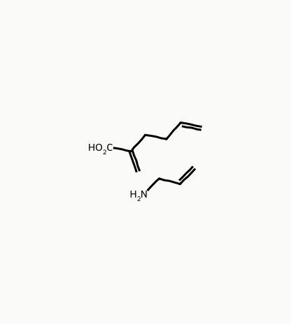 C=CCCC(=C)C(=O)O.C=CCN